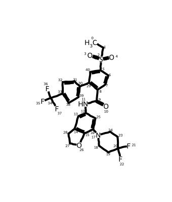 CCS(=O)(=O)c1ccc(C(=O)Nc2cc3c(c(N4CCC(F)(F)CC4)c2)OCC3)c(-c2ccc(C(F)(F)F)cc2)c1